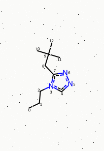 CCCn1cnnc1CC(C)(C)C